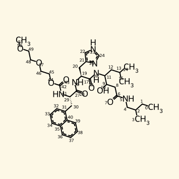 CCC(C)CNC(=O)CC(O)C(CC(C)C)NC(=O)[C@H](Cc1c[nH]cn1)NC(=O)[C@H](Cc1cccc2ccccc12)NC(=O)OCCOCCOC